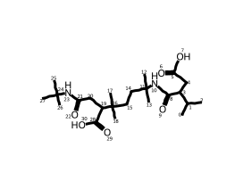 CC(C)C(CC(=O)O)C(=O)NC(C)(C)CCC(C)(C)C(CC(=O)NC(C)(C)C)C(=O)O